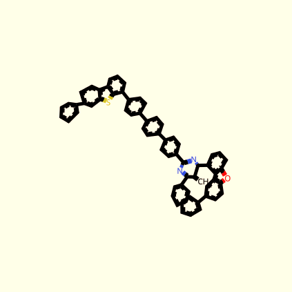 C=C1C(c2ccccc2)=NC(c2ccc(-c3ccc(-c4ccc(-c5cccc6c5sc5cc(-c7ccccc7)ccc56)cc4)cc3)cc2)=NC1c1cccc2oc3ccc(-c4ccccc4)cc3c12